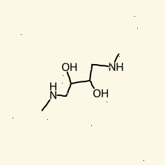 CNCC(O)C(O)CNC